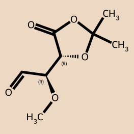 CO[C@@H](C=O)[C@H]1OC(C)(C)OC1=O